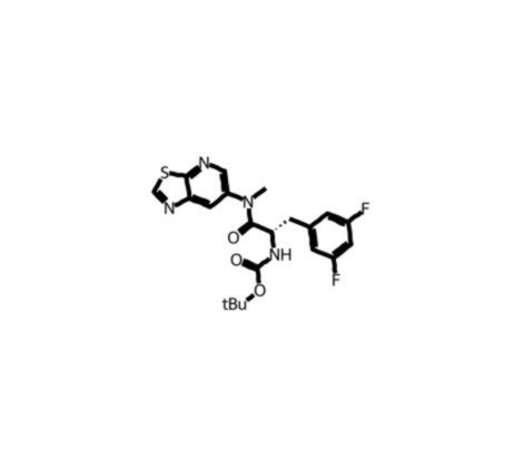 CN(C(=O)[C@H](Cc1cc(F)cc(F)c1)NC(=O)OC(C)(C)C)c1cnc2scnc2c1